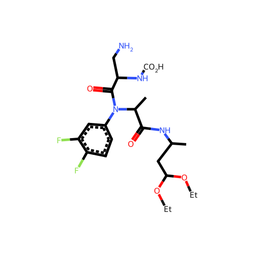 CCOC(CC(C)NC(=O)C(C)N(C(=O)C(CN)NC(=O)O)c1ccc(F)c(F)c1)OCC